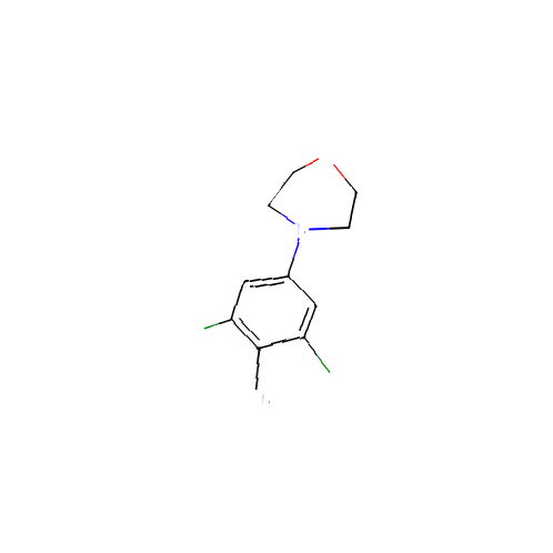 N#Cc1c(F)cc(N2CCOCC2)cc1F